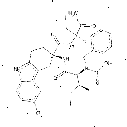 CC[C@H](C)[C@@H](C(=O)N[C@]1(C(=O)N[C@@](C)(CC)C(N)=O)CCc2[nH]c3ccc(Cl)cc3c2C1)N(Cc1ccccc1)C(=O)O